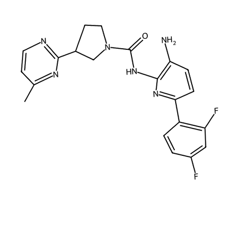 Cc1ccnc(C2CCN(C(=O)Nc3nc(-c4ccc(F)cc4F)ccc3N)C2)n1